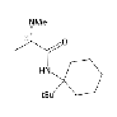 CN[C@@H](C)C(=O)NC1(C(C)(C)C)CCCCC1